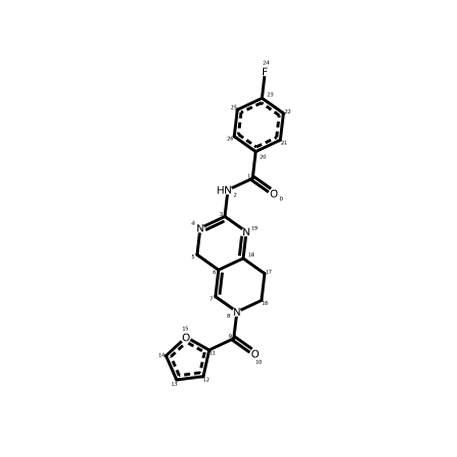 O=C(NC1=NCC2=CN(C(=O)c3ccco3)CCC2=N1)c1ccc(F)cc1